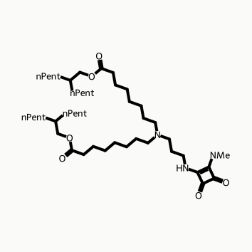 CCCCCC(CCCCC)COC(=O)CCCCCCCN(CCCCCCCC(=O)OCC(CCCCC)CCCCC)CCCNc1c(NC)c(=O)c1=O